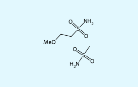 COCCS(N)(=O)=O.CS(N)(=O)=O